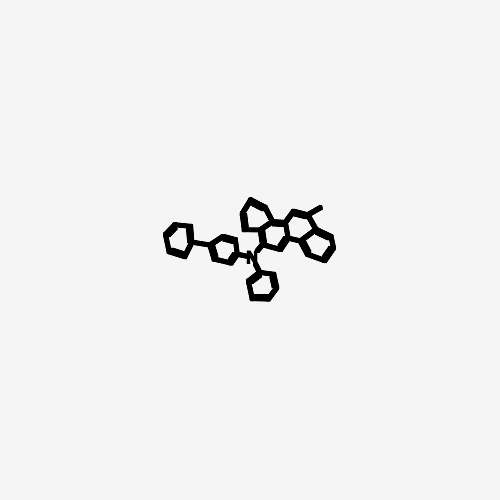 Cc1cc2c3ccccc3c(N(c3ccccc3)c3ccc(-c4ccccc4)cc3)cc2c2ccccc12